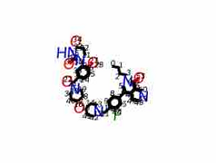 CCCCn1cc(-c2ccc(CN3CCC(OC4CCN(C(=O)c5ccc(OC)c(N6CCC(=O)NC6=O)c5)CC4)CC3)c(F)c2)c2ccncc2c1=O